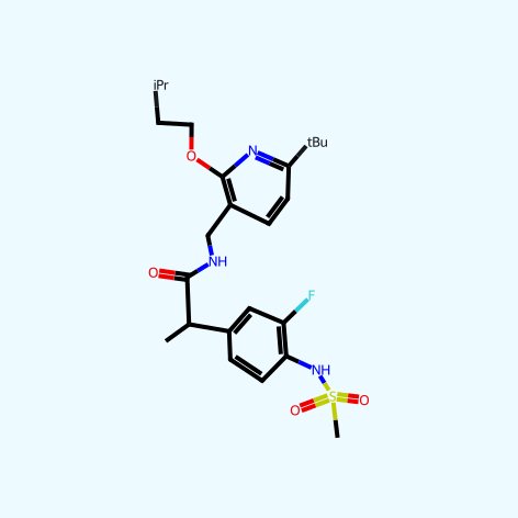 CC(C)CCOc1nc(C(C)(C)C)ccc1CNC(=O)C(C)c1ccc(NS(C)(=O)=O)c(F)c1